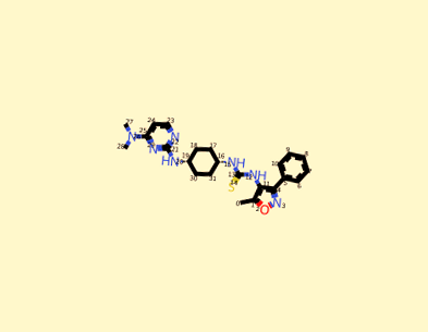 Cc1onc(-c2ccccc2)c1NC(=S)N[C@H]1CC[C@@H](Nc2nccc(N(C)C)n2)CC1